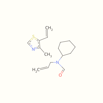 C=CCN(C=O)C1CCCCC1.C=Cc1scnc1C